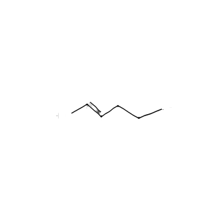 CC(C)CC/C=C/C=O